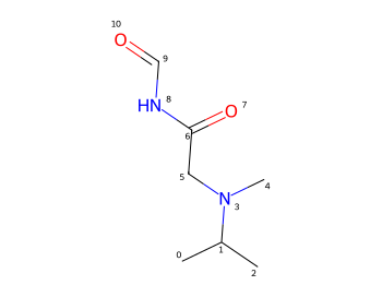 CC(C)N(C)CC(=O)NC=O